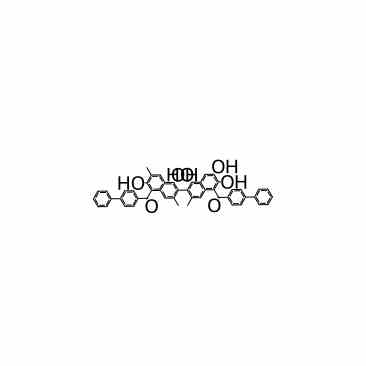 Cc1cc2c(O)c(-c3c(C)cc4c(C(=O)c5ccc(-c6ccccc6)cc5)c(O)c(O)cc4c3O)c(C)cc2c(C(=O)c2ccc(-c3ccccc3)cc2)c1O